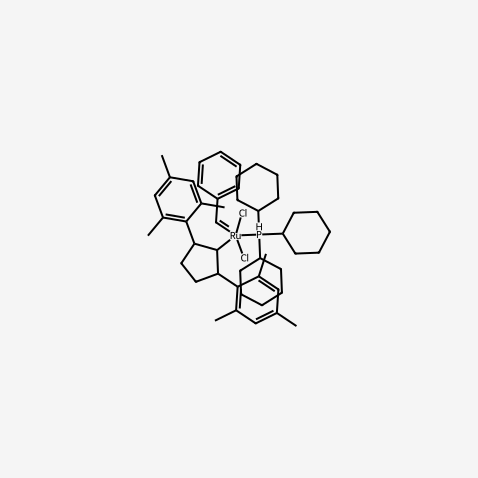 Cc1cc(C)c(C2CCC(c3c(C)cc(C)cc3C)[CH]2[Ru]([Cl])([Cl])(=[CH]c2ccccc2)[PH](C2CCCCC2)(C2CCCCC2)C2CCCCC2)c(C)c1